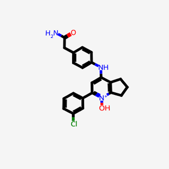 NC(=O)Cc1ccc(Nc2cc(-c3cccc(Cl)c3)[n+](O)c3c2CCC3)cc1